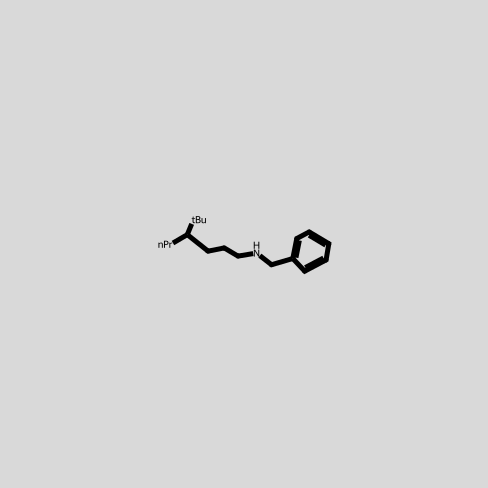 CCCC(CCCNCc1ccccc1)C(C)(C)C